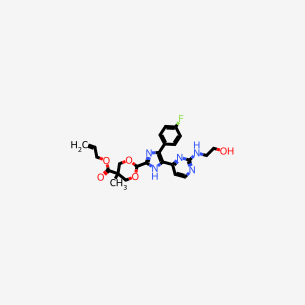 C=CCOC(=O)C1(C)COC(c2nc(-c3ccc(F)cc3)c(-c3ccnc(NCCO)n3)[nH]2)OC1